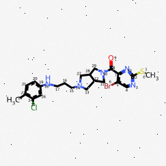 CSc1ncc(Br)c(C(=O)N2CC3CN(CCCNc4ccc(C)c(Cl)c4)CC3C2)n1